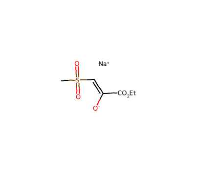 CCOC(=O)C([O-])=CS(C)(=O)=O.[Na+]